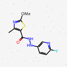 COc1nc(C)c(C(=O)NNc2ccc(F)nc2)s1